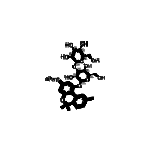 CCCCCc1cc(O[C@@H]2O[C@H](CO)[C@@H](O)[C@H](O[C@@H]3O[C@H](CO)[C@@H](O)[C@H](O)[C@H]3O)[C@H]2O)c2c(c1)OC(C)(C)c1ccc(C)cc1-2